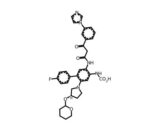 O=C(O)Nc1cc(N2CC[C@@H](OC3CCCCO3)C2)c(-c2ccc(F)cc2)cc1NC(=O)CC(=O)c1cccc(-n2ccnc2)c1